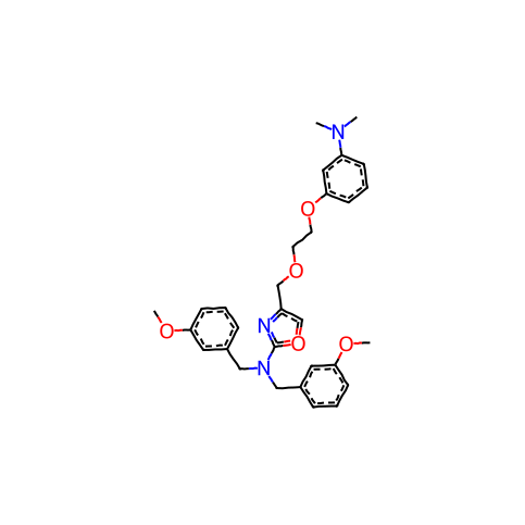 COc1cccc(CN(Cc2cccc(OC)c2)c2nc(COCCOc3cccc(N(C)C)c3)co2)c1